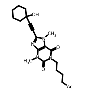 CC(=O)CCCCn1c(=O)c2c(nc(C#CC3(O)CCCCC3)n2C)n(C)c1=O